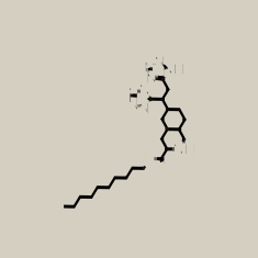 CCCCCCCCCCOC(=O)C1CC2CC(C(Cc3nnn[nH]3)c3nnn[nH]3)CCC2CN1